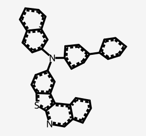 c1ccc(-c2ccc(N(c3ccc4ccccc4c3)c3ccc4sc5ncc6ccccc6c5c4c3)cc2)cc1